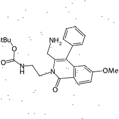 COc1ccc2c(=O)n(CCNC(=O)OC(C)(C)C)c(CN)c(-c3ccccc3)c2c1